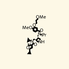 COCCCOc1cc(C(=O)N(C[C@@H]2CNC[C@H]2CN(C(=O)c2cc(C3CC3)on2)C2CC2)C(C)C)ccc1OC